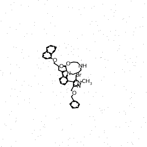 Cn1nc(COCc2ccccc2)c(-c2cccc3c(CCCOc4cccc5ccccc45)c4n(c23)CCCNCCOC4=O)c1CBr